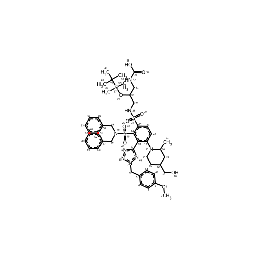 COc1ccc(Cn2nnc(-c3c(N4CCC(CO)CC4C)ccc(S(=O)(=O)NCC(CNC(=O)O)O[Si](C)(C)C(C)(C)C)c3S(=O)(=O)N(Cc3ccccc3)Cc3ccccc3)n2)cc1